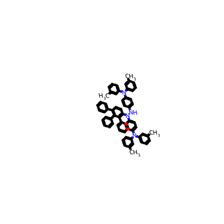 Cc1cccc(N(c2ccc(NN(c3ccc(N(c4cccc(C)c4)c4cccc(C)c4)cc3)c3ccc(-c4ccccc4)c(-c4ccccc4)c3-c3ccccc3)cc2)c2cccc(C)c2)c1